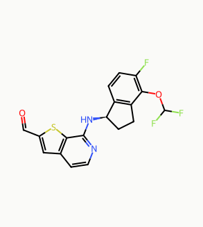 O=Cc1cc2ccnc(N[C@@H]3CCc4c3ccc(F)c4OC(F)F)c2s1